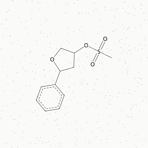 CS(=O)(=O)OC1COC(c2ccccc2)C1